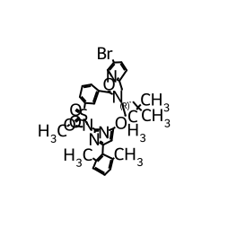 COCN1c2nc(cc(-c3c(C)cccc3C)n2)OC[C@@H](CC(C)(C)C)N(Cc2ccc(Br)cn2)C(=O)c2cccc(c2)S1(=O)=O